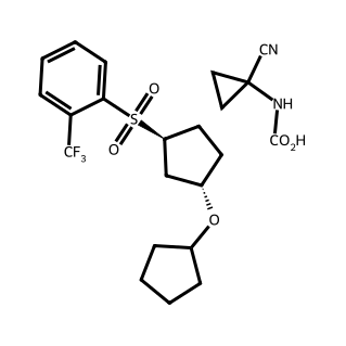 N#CC1(NC(=O)O)CC1.O=S(=O)(c1ccccc1C(F)(F)F)[C@H]1CC[C@H](OC2CCCC2)C1